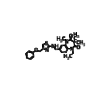 CCN1C(=O)C(C)(C)C(=O)N(C)c2cc(CNc3nc(COc4ccccc4)cs3)ccc21